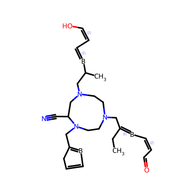 CC/C(=B\C=C/C=O)CN1CCN(CC(C)/B=C\C=C/O)CC(C#N)N(CC2=BC=CC2)CC1